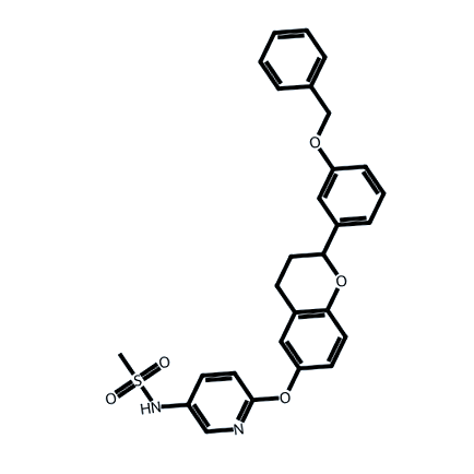 CS(=O)(=O)Nc1ccc(Oc2ccc3c(c2)CCC(c2cccc(OCc4ccccc4)c2)O3)nc1